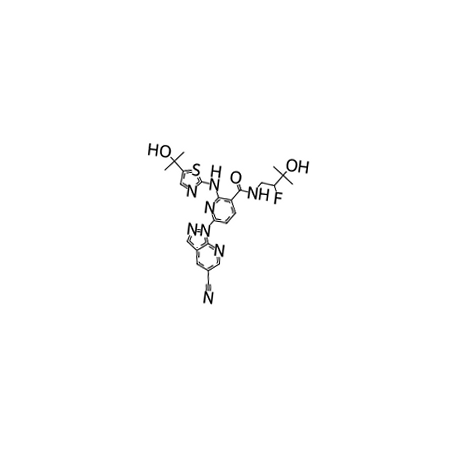 CC(C)(O)c1cnc(Nc2nc(-n3ncc4cc(C#N)cnc43)ccc2C(=O)NCC(F)C(C)(C)O)s1